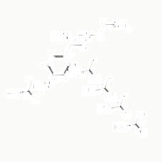 CC(=O)O.CC(=O)O.CC(=O)O.CC(=O)O.CC(=O)O.NCCNCC(N)c1ccc(N)cc1